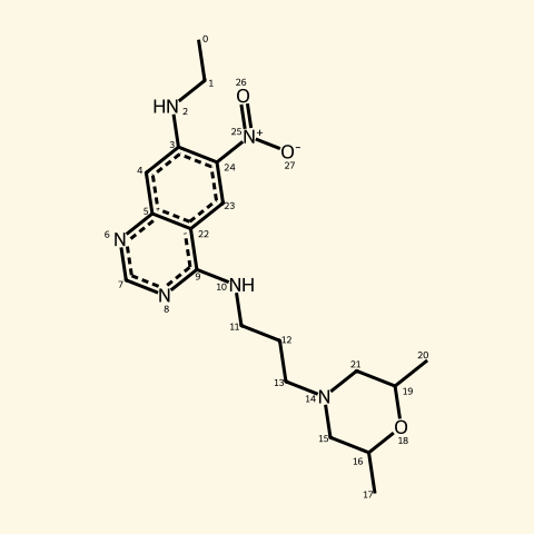 CCNc1cc2ncnc(NCCCN3CC(C)OC(C)C3)c2cc1[N+](=O)[O-]